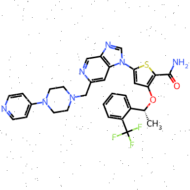 C[C@@H](Oc1cc(-n2cnc3cnc(CN4CCN(c5ccncc5)CC4)cc32)sc1C(N)=O)c1ccccc1C(F)(F)F